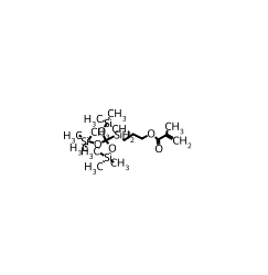 C=C(C)C(=O)OCCC[SiH2]C(O[Si](C)(C)C)(O[Si](C)(C)C)O[Si](C)(C)C